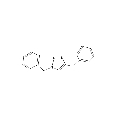 c1ccc(Cc2cn(Cc3ccccc3)nn2)cc1